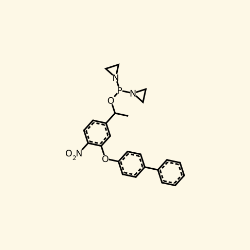 CC(OP(N1CC1)N1CC1)c1ccc([N+](=O)[O-])c(Oc2ccc(-c3ccccc3)cc2)c1